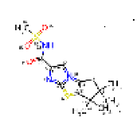 CC1(C)Cc2c(sc3nc(C(=O)NS(C)(=O)=O)cn23)C1(C)C